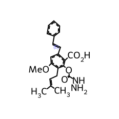 COc1cc(/C=C/c2ccccc2)c(C(=O)O)c(OC(=O)NN)c1CC=C(C)C